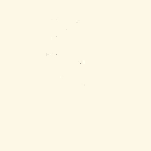 CCC(C)(C)/C=C(/NC(=O)OCc1ccccc1)C(=O)O